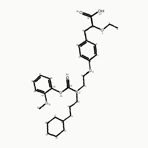 CCOC(Cc1ccc(OCCN(CCCC2CCCCC2)C(=O)Oc2ccccc2OC)cc1)C(=O)O